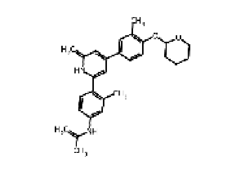 C=C(C)Nc1ccc(C2=CC(c3ccc(OC4CCCCO4)c(C)c3)=CC(=C)N2)c(C)c1